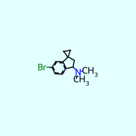 CN(C)C1CC2(CC2)c2cc(Br)ccc21